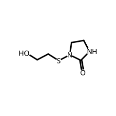 O=C1NCCN1SCCO